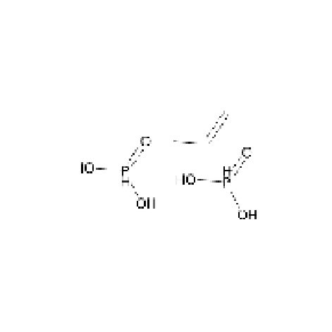 C=CC.O=[PH](O)O.O=[PH](O)O